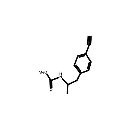 C#Cc1ccc(CC(C)NC(=O)OC)cc1